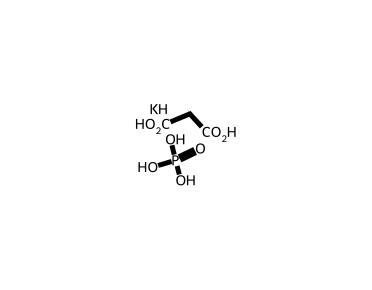 O=C(O)CC(=O)O.O=P(O)(O)O.[KH]